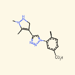 CC1=C(c2cn(-c3cc(C(=O)O)ccc3C)nn2)CNN1C